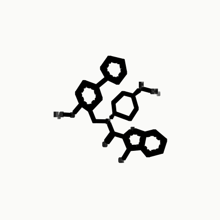 CN[C@H]1CC[C@H](N(Cc2cc(-c3ccccc3)ccc2OC)C(=O)c2sc3ccccc3c2Cl)CC1